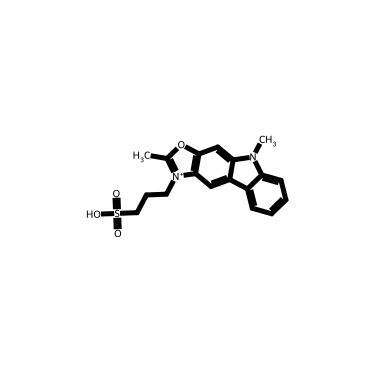 Cc1oc2cc3c(cc2[n+]1CCCS(=O)(=O)O)c1ccccc1n3C